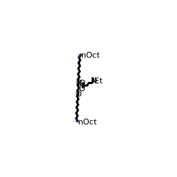 CCCCCCCC/C=C\CCCCCCCCOCC(COCCCCCCCC/C=C\CCCCCCCC)OC(=O)CCCN(C)CC